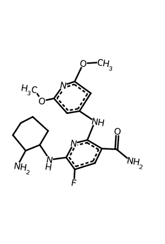 COc1cc(Nc2nc(NC3CCCCC3N)c(F)cc2C(N)=O)cc(OC)n1